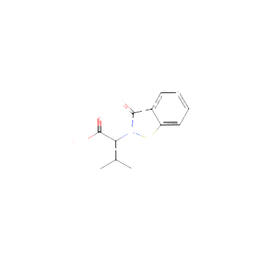 CC(C)C(C(=O)O)n1sc2ccccc2c1=O